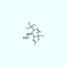 C=CC(C(=NO)C(C=C)C(C)(C)C)C(C)(C)C